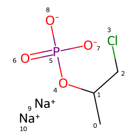 CC(CCl)OP(=O)([O-])[O-].[Na+].[Na+]